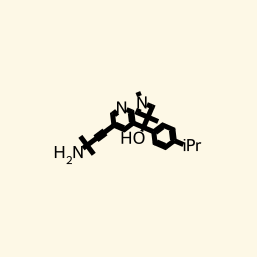 CC(C)c1ccc([C@](O)(c2cncc(C#CC(C)(C)N)c2)C2(C)CN(C)C2)cc1